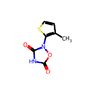 Cc1ccsc1-n1oc(=O)[nH]c1=O